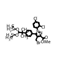 COC(=O)c1nn(-c2ccc(Cl)cc2Cl)c(-c2ccc(C(C)(C)C(O[SiH2]C)O[SiH2]C)cc2)c1CBr